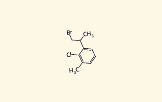 C[C](CBr)c1cccc(C)c1Cl